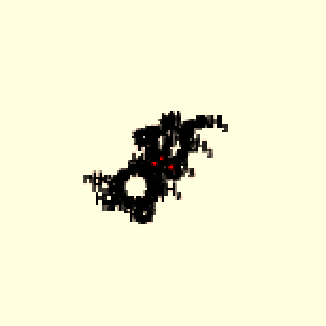 CCCCCC[C@H]1OC[C@@H](C)NC(=O)[C@H](C(CC(C)C[C@H]2C(=O)N[C@@H](C3CCCCC3)C(=O)N[C@@H](CN)C(=O)N[C@@H](COCCCN)C(=O)N[C@H](C)CO[C@H](CC3CCCCC3)[C@@H](C)C(=O)N2C)OCCCNCCCN)NC(=O)[C@H](CN)NC(=O)[C@H](C2CCCCCC2)NC(=O)[C@H](CCC)N(C)C(=O)[C@@H]1C